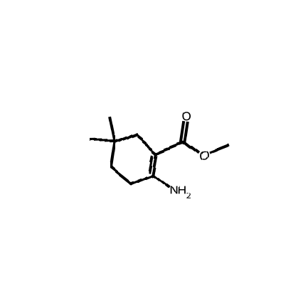 COC(=O)C1=C(N)CCC(C)(C)C1